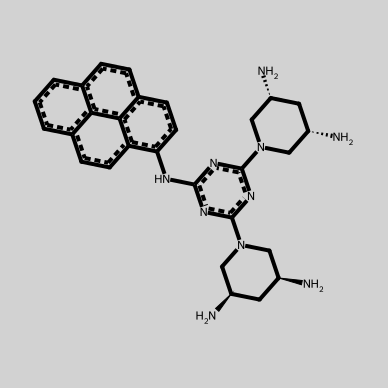 N[C@@H]1C[C@H](N)CN(c2nc(Nc3ccc4ccc5cccc6ccc3c4c56)nc(N3C[C@H](N)C[C@H](N)C3)n2)C1